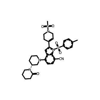 Cc1ccc(S(=O)(=O)n2c(C3=CCN(S(C)(=O)=O)CC3)cc3c(N4CCC[C@@H](N5CCCCC5=O)C4)ccc(C#N)c32)cc1